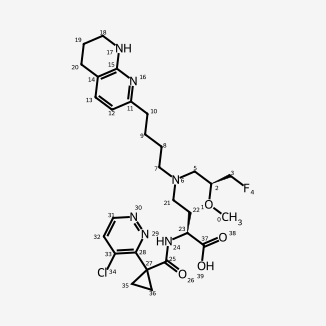 CO[C@H](CF)CN(CCCCc1ccc2c(n1)NCCC2)CC[C@H](NC(=O)C1(c2nnccc2Cl)CC1)C(=O)O